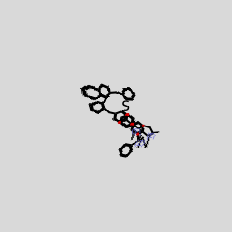 C\C1=C(c2ccc(-c3ccc4c(c3)Sc3ccccc3Cc3ccc5ccccc5c3-c3ccccc3C4)cc2)/N=C(c2ccccc2)\N=C(\c2ccccc2)CC1